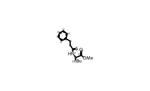 CCCCC(NC(=S)CCc1ccccc1)C(=O)OC